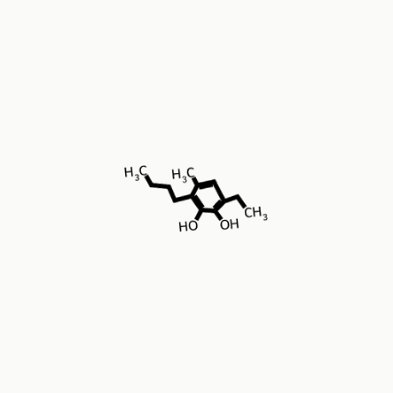 CCCCc1c(C)cc(CC)c(O)c1O